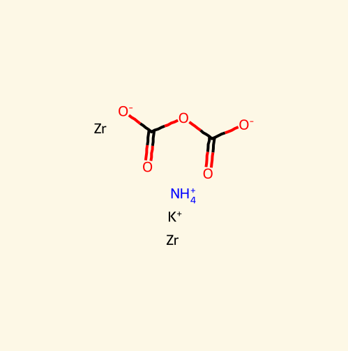 O=C([O-])OC(=O)[O-].[K+].[NH4+].[Zr].[Zr]